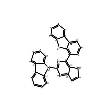 c1ccc2c(c1)sc1c(-c3nc(-n4c5ccccc5c5ccccc54)nc4ccsc34)cccc12